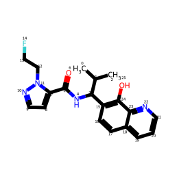 CC(C)C(NC(=O)c1ccnn1CCF)c1ccc2cccnc2c1O